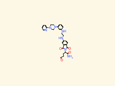 NC(=O)C(CCC=O)N1C(=O)c2ccc(NCCNc3cccc(N4CCN(c5ccccn5)CC4)c3)cc2C1=O